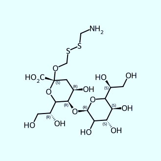 NCSSCO[C@]1(C(=O)O)C[C@@H](O)[C@@H](O[C@H]2OC([C@@H](O)CO)[C@@H](O)[C@H](O)C2O)C([C@H](O)CO)O1